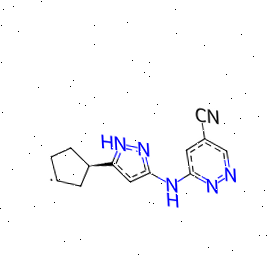 N#Cc1cnnc(Nc2cc([C@H]3C[CH]CC3)[nH]n2)c1